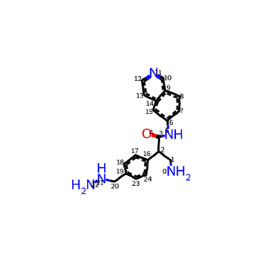 NCC(C(=O)Nc1ccc2cnccc2c1)c1ccc(CNN)cc1